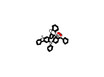 c1ccc(N(c2ccc3c(c2)[Si]2(c4ccccc4Oc4ccccc42)c2ccccc2[SiH]3c2ccccc2)c2ccc3sc4ccccc4c3c2)cc1